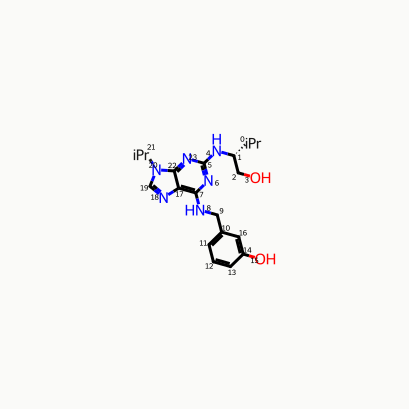 CC(C)[C@H](CO)Nc1nc(NCc2cccc(O)c2)c2ncn(C(C)C)c2n1